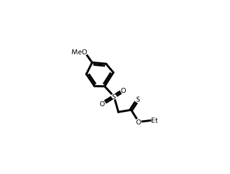 CCOC(=S)CS(=O)(=O)c1ccc(OC)cc1